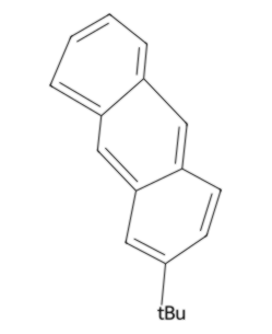 CC(C)(C)c1ccc2cc3ccccc3cc2c1